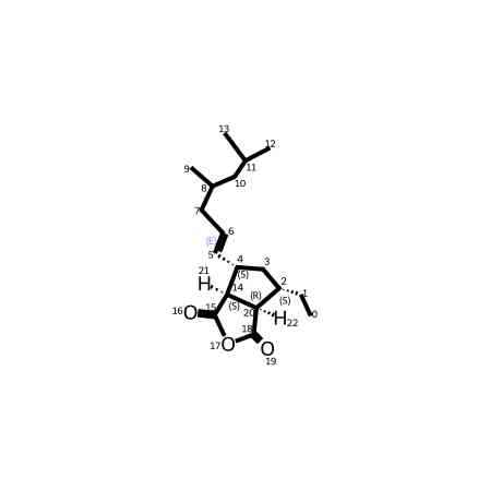 CC[C@H]1C[C@@H](/C=C/CC(C)CC(C)C)[C@@H]2C(=O)OC(=O)[C@H]12